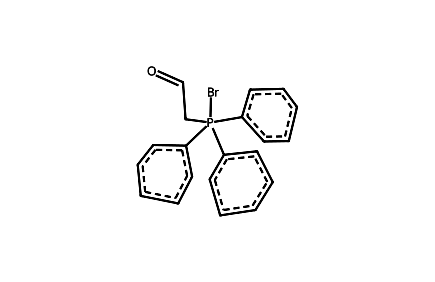 O=CCP(Br)(c1ccccc1)(c1ccccc1)c1ccccc1